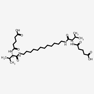 CC(C)[C@H](NC(=O)CCCC(=O)O)C(=O)NCCCCCCCCCCCCNC(=O)[C@@H](NC(=O)CCCC(=O)O)C(C)C